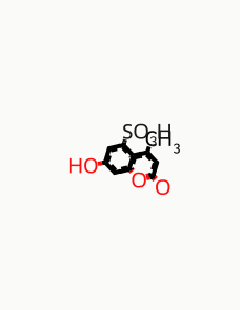 Cc1cc(=O)oc2cc(O)cc(S(=O)(=O)O)c12